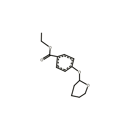 CCOC(=O)c1ccc(OC2CCCCO2)cc1